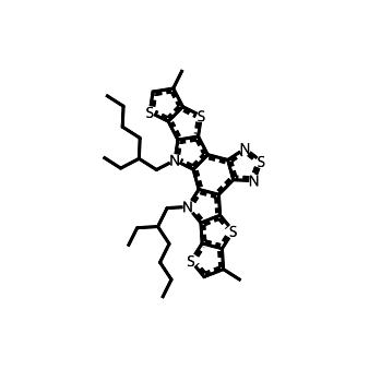 CCCCC(CC)Cn1c2c3scc(C)c3sc2c2c3nsnc3c3c4sc5c(C)csc5c4n(CC(CC)CCCC)c3c21